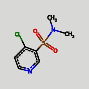 CN(C)S(=O)(=O)c1cnccc1Cl